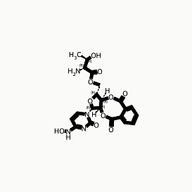 C[C@@H](O)[C@@H](N)C(=O)OC[C@H]1O[C@@H](n2ccc(NO)nc2=O)[C@@H]2OC(=O)c3ccccc3C(=O)O[C@@H]21